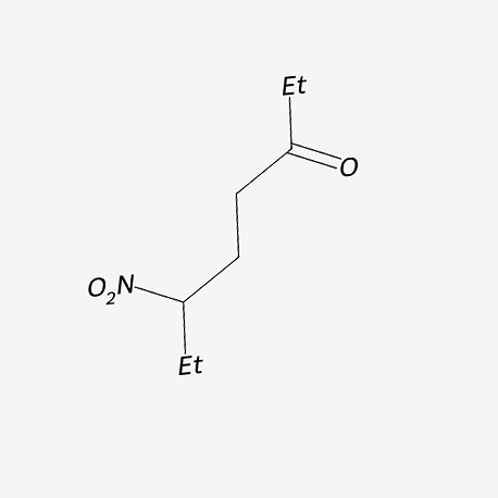 CCC(=O)CCC(CC)[N+](=O)[O-]